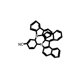 N#CC1=CC(n2c3ccccc3c3ccccc32)C(n2c3ccc4ccccc4c3c3c4ccccc4ccc32)C=C1